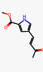 COC(=O)c1cc(C=CC(C)=O)c[nH]1